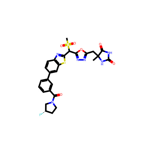 CC1(Cc2nnc(C(c3nc4ccc(-c5cccc(C(=O)N6CC[C@H](F)C6)c5)cc4s3)S(C)(=O)=O)o2)NC(=O)NC1=O